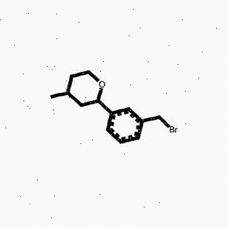 CC1CCOC(c2cccc(CBr)c2)C1